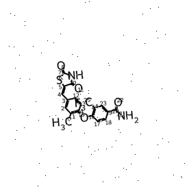 Cc1cc(/C=C2/SC(=O)NC2=O)ccc1Oc1ccc(C(N)=O)cc1C(F)(F)F